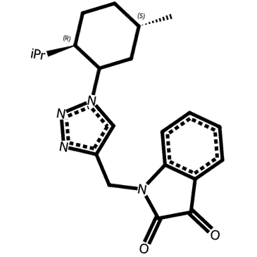 CC(C)[C@H]1CC[C@H](C)CC1n1cc(CN2C(=O)C(=O)c3ccccc32)nn1